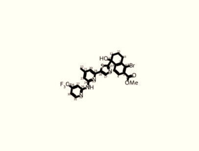 COC(=O)c1ccc2c(c1Br)CCCC2(O)c1ncc(-c2cc(C)cc(Nc3cc(C(F)(F)F)ccn3)n2)s1